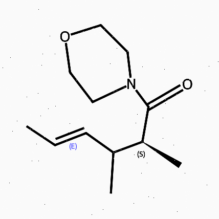 C/C=C/C(C)[C@H](C)C(=O)N1CCOCC1